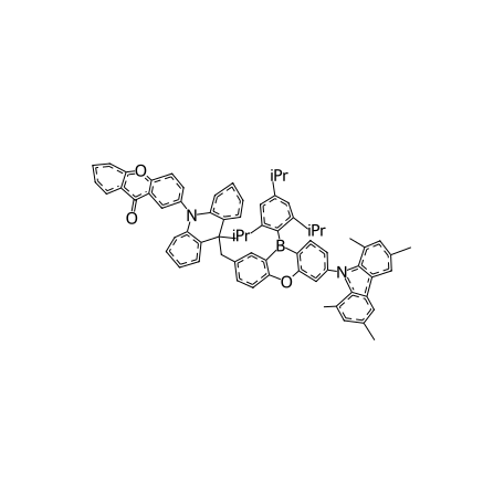 Cc1cc(C)c2c(c1)c1cc(C)cc(C)c1n2-c1ccc2c(c1)Oc1ccc(CC3(C)c4ccccc4N(c4ccc5oc6ccccc6c(=O)c5c4)c4ccccc43)cc1B2c1c(C(C)C)cc(C(C)C)cc1C(C)C